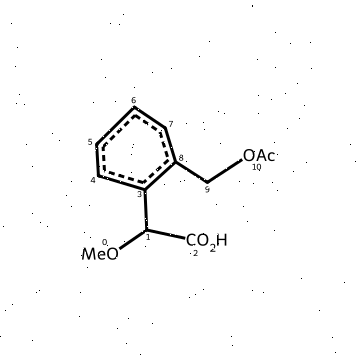 COC(C(=O)O)c1ccccc1COC(C)=O